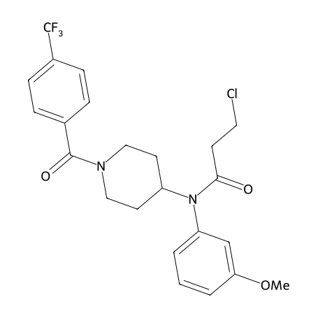 COc1cccc(N(C(=O)CCCl)C2CCN(C(=O)c3ccc(C(F)(F)F)cc3)CC2)c1